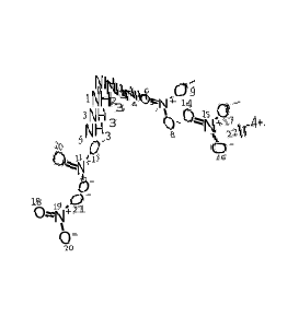 N.N.N.N.N.N.O=[N+]([O-])[O-].O=[N+]([O-])[O-].O=[N+]([O-])[O-].O=[N+]([O-])[O-].[Ir+4]